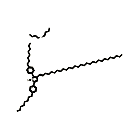 CCCCCCCCCCCCCCCCCCCCCCCCCCCC=CC1=C(c2ccc(CCCCCCCC)cc2)[N+](=[N-])C(c2ccc(CCCCCCCC)cc2)=C1.CCC[CH2][Pd][CH2]CCC